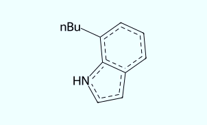 CCCCc1cccc2cc[nH]c12